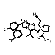 CC(C)C1=C(C(=O)[N+]2(CCC#N)CCC[C@H]2C(N)=O)SC2=N[C@@](C)(c3ccc(Cl)cc3)[C@@H](c3ccc(Cl)cc3)N21